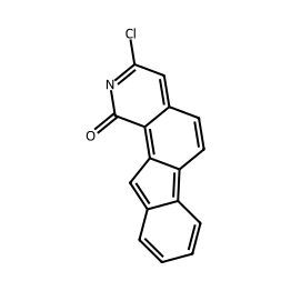 O=C1N=C(Cl)C=c2ccc3c(c21)C=c1ccccc1=3